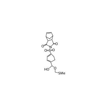 CSCOC(O)C1=CC=C(S(=O)(=O)N2C(=O)C3C4C=CC(C4)C3C2=O)CC1